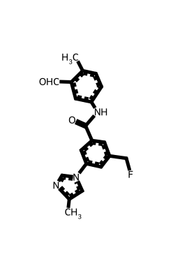 Cc1cn(-c2cc(CF)cc(C(=O)Nc3ccc(C)c(C=O)c3)c2)cn1